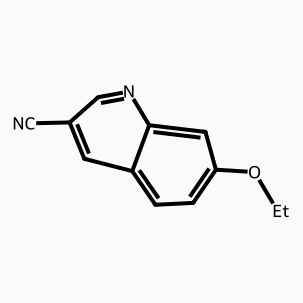 CCOc1ccc2cc(C#N)cnc2c1